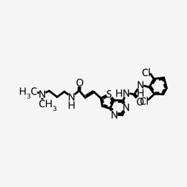 CN(C)CCCNC(=O)/C=C/c1cc2ncnc(NC(=O)Nc3c(Cl)cccc3Cl)c2s1